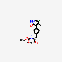 COC(=O)[C@H](Cc1ccc(-c2c(C)c(Cl)c[nH]c2=O)cc1)NC(=O)OC(C)(C)C